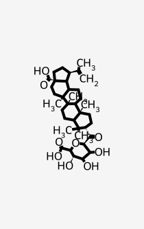 C=C(C)[C@@H]1CC[C@]2(C(=O)O)CC[C@]3(C)C(CCC4[C@@]5(C)CC[C@H](C(=O)[C@@H]6OC(C(=O)O)[C@@H](O)C(O)C6O)C(C)(C)C5CC[C@]43C)C12